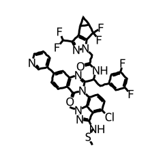 CSNc1nn(C)c2c(-n3c(C(Cc4cc(F)cc(F)c4)NC(=O)Cn4nc(C(F)F)c5c4C(F)(F)C4CC54)nc4cc(-c5cccnc5)ccc4c3=O)ccc(Cl)c12